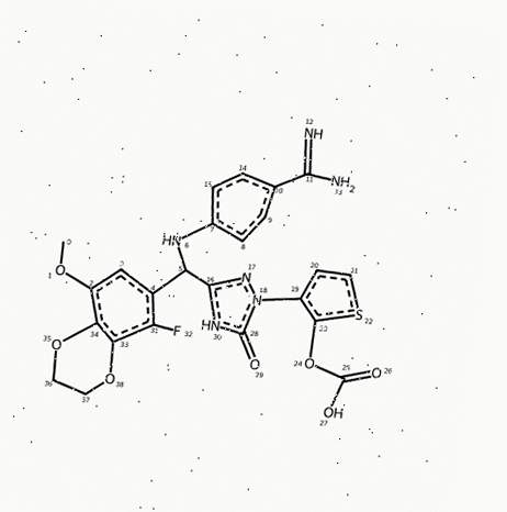 COc1cc(C(Nc2ccc(C(=N)N)cc2)c2nn(-c3ccsc3OC(=O)O)c(=O)[nH]2)c(F)c2c1OCCO2